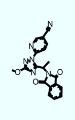 COc1nc(C(C)N2C(=O)c3ccccc3C2=O)n(-c2ccc(C#N)cn2)n1